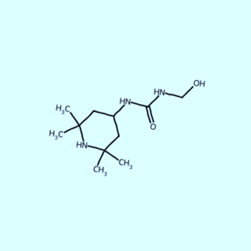 CC1(C)CC(NC(=O)NCO)CC(C)(C)N1